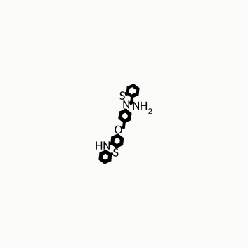 NC(=Nc1ccc(COc2ccc3c(c2)Nc2ccccc2S3)cc1)C1=CC=CCC1=S